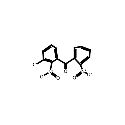 O=C(c1ccccc1[N+](=O)[O-])c1cccc(Cl)c1[N+](=O)[O-]